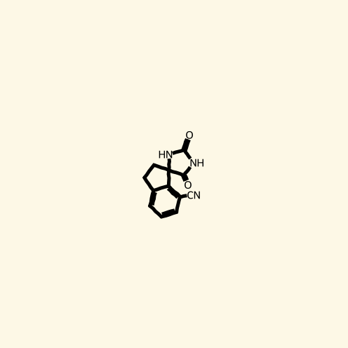 N#Cc1cccc2c1C1(CC2)NC(=O)NC1=O